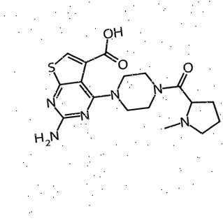 CN1CCCC1C(=O)N1CCN(c2nc(N)nc3scc(C(=O)O)c23)CC1